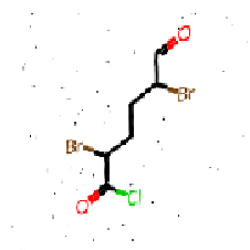 O=CC(Br)CCC(Br)C(=O)Cl